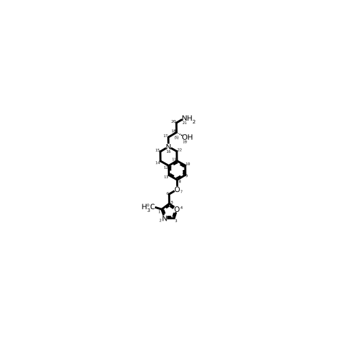 Cc1ncoc1COc1ccc2c(c1)CCN(C[C@@H](O)CN)C2